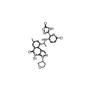 CCn1c(=O)c2cc(C)cc(C(C)Nc3ccc(Cl)nc3-c3noc(=O)[nH]3)c2c2cnn(C3CCOC3)c21